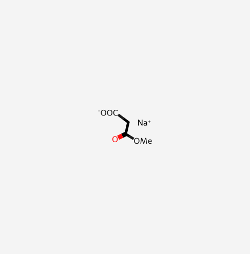 COC(=O)CC(=O)[O-].[Na+]